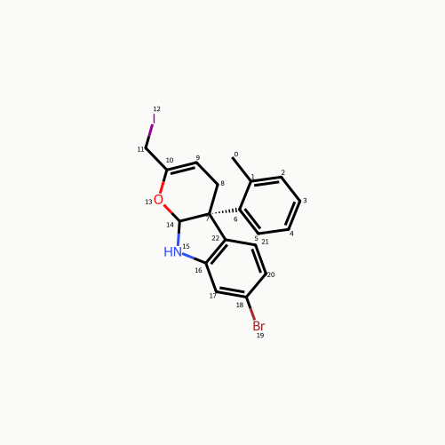 Cc1ccccc1[C@@]12CC=C(CI)OC1Nc1cc(Br)ccc12